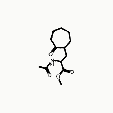 COC(=O)C(CC1CCCCCC1=O)NC(C)=O